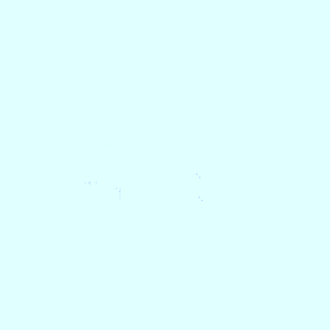 CCCCCNc1cc(N=Nc2ccccc2)c2ccccc2c1O